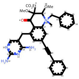 CCOC(=O)C1(OC)C(=O)c2c(Cc3cnc(N)nc3N)cc(C#Cc3ccccc3)cc2[N+](C)(Cc2ccccc2)C1OC